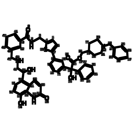 O=C(NCc1ccc(-c2cccc(C(O)(C(=O)OCC3CCN(Cc4ccccc4)CC3)c3ccccc3)c2)s1)c1cccc(CNCC(O)c2ccc(O)c3[nH]c(=O)ccc23)c1